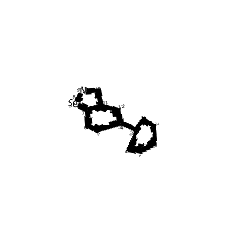 c1ccc(-c2ccc3[se]ncc3c2)cc1